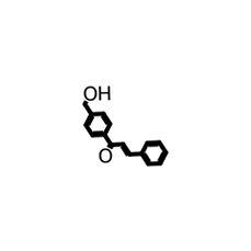 O=C(/C=C/c1ccccc1)c1ccc(CO)cc1